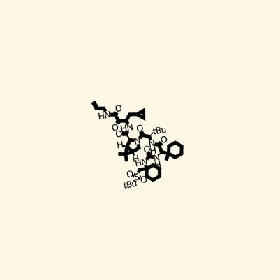 C=CCNC(=O)C(=O)C(CC1CC1)NC(=O)[C@@H]1[C@@H]2[C@H](CN1C(=O)[C@@H](NC(=O)[C@@H](NC(=O)NC1(CS(=O)(=O)C(C)(C)C)CCCCC1)C1(C)CCCCC1)C(C)(C)C)C2(C)C